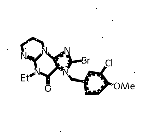 CCN1C(=O)c2c(nc(Br)n2Cc2ccc(OC)c(Cl)c2)N2CCCN=C12